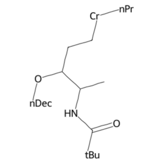 CCCCCCCCCCOC(C[CH2][Cr][CH2]CC)C(C)NC(=O)C(C)(C)C